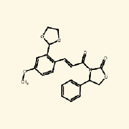 COc1ccc(/C=C/C(=O)N2C(=O)OCC2c2ccccc2)c(C2OCCO2)c1